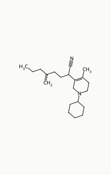 C=C(CCC)CCC(C#N)C1=C(C)CCN(C2CCCCC2)C1